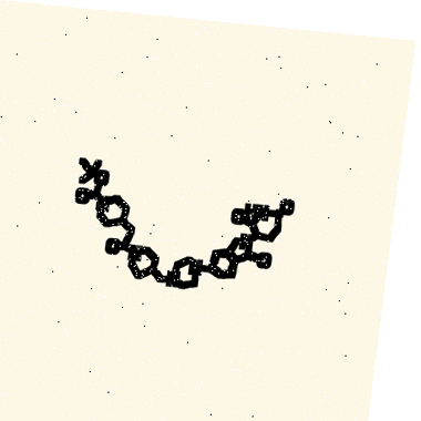 CC(C)(C)OC(=O)N1CCC(CC(=O)N2CCC(CN3CCN(c4ccc5c(c4)CN(C4CCC(=O)NC4=O)C5=O)CC3)CC2)CC1